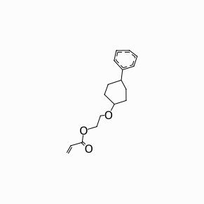 C=CC(=O)OCCOC1CCC(c2ccccc2)CC1